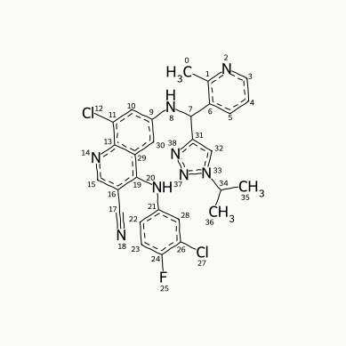 Cc1ncccc1C(Nc1cc(Cl)c2ncc(C#N)c(Nc3ccc(F)c(Cl)c3)c2c1)c1cn(C(C)C)nn1